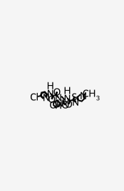 CN1CCc2nc(C(=O)NC(CNC(=O)C(=O)Nc3ccc(Cl)cn3)C(=O)N3CCOCC3)sc2C1